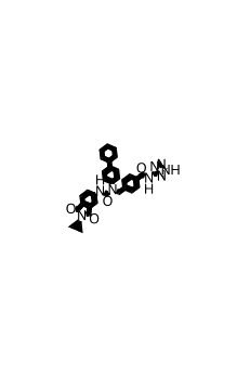 O=C(Nc1nn[nH]n1)c1ccc(CN(C(=O)Nc2ccc3c(c2)C(=O)N(C2CC2)C3=O)c2ccc(C3CCCCC3)cc2)cc1